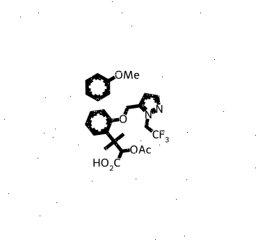 CC(=O)OC(C(=O)O)C(C)(C)c1ccccc1OCc1ccnn1CC(F)(F)F.COc1ccccc1